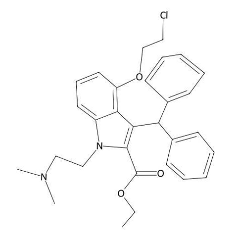 CCOC(=O)c1c(C(c2ccccc2)c2ccccc2)c2c(OCCCl)cccc2n1CCN(C)C